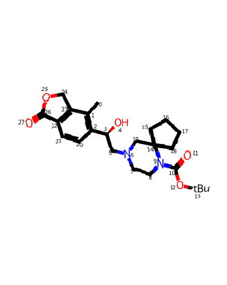 Cc1c([C@@H](O)CN2CCN(C(=O)OC(C)(C)C)C3(CCCC3)C2)ccc2c1COC2=O